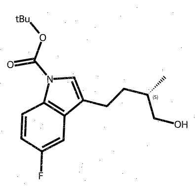 C[C@H](CO)CCc1cn(C(=O)OC(C)(C)C)c2ccc(F)cc12